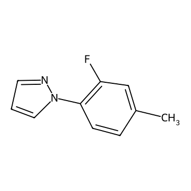 Cc1ccc(-n2cccn2)c(F)c1